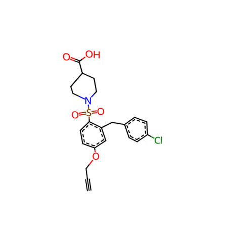 C#CCOc1ccc(S(=O)(=O)N2CCC(C(=O)O)CC2)c(Cc2ccc(Cl)cc2)c1